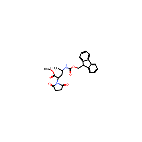 CC(C)(C)OC(=O)C(CC(NC(=O)OCC1c2ccccc2-c2ccccc21)C(=O)O)N1C(=O)CCC1=O